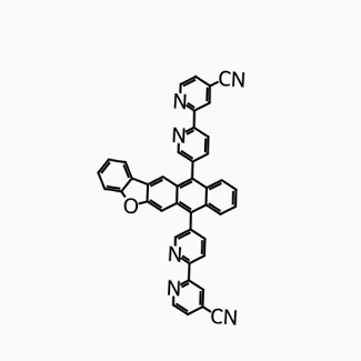 N#Cc1ccnc(-c2ccc(-c3c4ccccc4c(-c4ccc(-c5cc(C#N)ccn5)nc4)c4cc5c(cc34)oc3ccccc35)cn2)c1